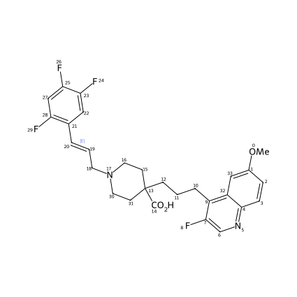 COc1ccc2ncc(F)c(CCCC3(C(=O)O)CCN(C/C=C/c4cc(F)c(F)cc4F)CC3)c2c1